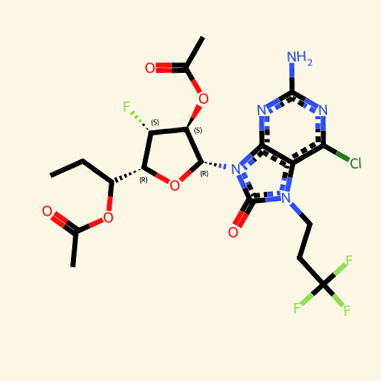 CCC(OC(C)=O)[C@H]1O[C@@H](n2c(=O)n(CCC(F)(F)F)c3c(Cl)nc(N)nc32)[C@H](OC(C)=O)[C@H]1F